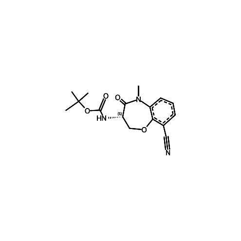 CN1C(=O)[C@@H](NC(=O)OC(C)(C)C)COc2c(C#N)cccc21